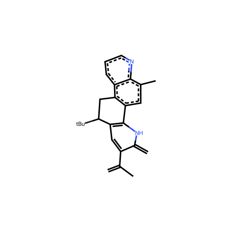 C=C(C)C1=CC2=C(NC1=C)c1cc(C)c3ncccc3c1CC2C(C)(C)C